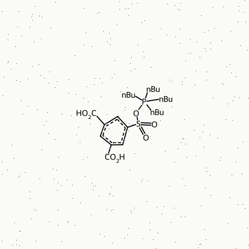 CCCCP(CCCC)(CCCC)(CCCC)OS(=O)(=O)c1cc(C(=O)O)cc(C(=O)O)c1